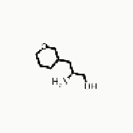 N[C@H](CO)CC1CCCOC1